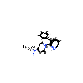 O=C(O)NC1CCN(c2ncccc2-c2ccccc2)CC1